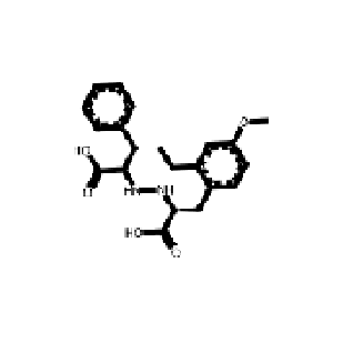 CCc1cc(OC)ccc1C[C@H](NNC(Cc1ccccc1)C(=O)O)C(=O)O